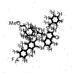 [2H]c1c([2H])c(F)c(F)c(C([2H])([2H])Sc2c([2H])c(=O)c3c([2H])c([2H])c([2H])c([2H])c3n2C([2H])([2H])C(=O)N(Cc2c([2H])c([2H])c(-c3c([2H])c([2H])c(C(F)(F)F)c([2H])c3[2H])c([2H])c2C)C2([2H])C([2H])([2H])C([2H])([2H])N(CCOC)C([2H])([2H])C2([2H])[2H])c1[2H]